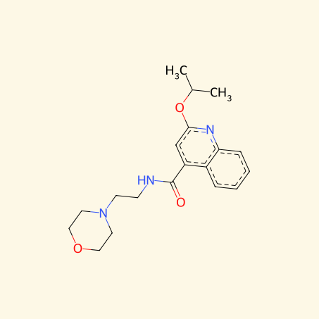 CC(C)Oc1cc(C(=O)NCCN2CCOCC2)c2ccccc2n1